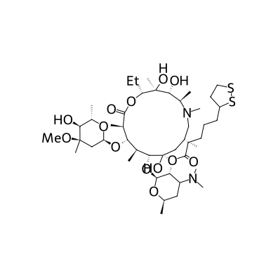 CC[C@H]1OC(=O)[C@H](C)[C@@H](O[C@H]2C[C@@](C)(OC)[C@@H](O)[C@H](C)O2)[C@H](C)[C@@H](O[C@@H]2O[C@H](C)CC(N(C)C)[C@H]2OC(=O)CCCCC2CCSS2)[C@](C)(O)C[C@@H](C)CN(C)[C@H](C)[C@@H](O)[C@]1(C)O